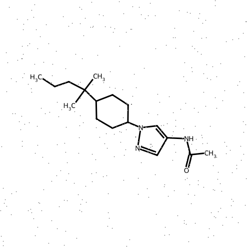 CCCC(C)(C)C1CCC(n2cc(NC(C)=O)cn2)CC1